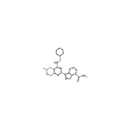 CC1Cc2c(nc(-n3ncc4c(C(N)=O)cccc43)nc2NCc2ccccc2)CO1